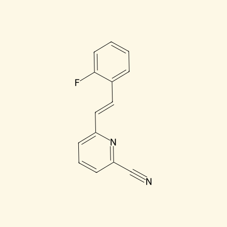 N#Cc1cccc(C=Cc2ccccc2F)n1